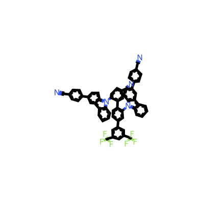 N#Cc1ccc(-c2ccc3c(c2)c2ccccc2n3-c2ccc(C#N)cc2-c2ccc(-c3cc(C(F)(F)F)cc(C(F)(F)F)c3)cc2-n2c3ccccc3c3cc(-c4ccc(C#N)cc4)ccc32)cc1